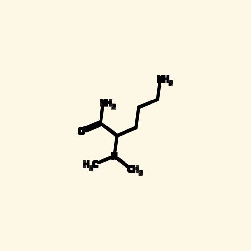 CN(C)C(CCCN)C(N)=O